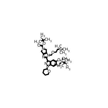 CC(C)(C)OC(=O)N1Cc2nc(-c3nn(C4CCCCO4)c4ccc(O[Si](C)(C)C(C)(C)C)cc34)n(COCC[Si](C)(C)C)c2C1